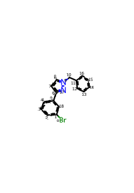 Brc1cccc(-c2ccn(Cc3ccccc3)n2)c1